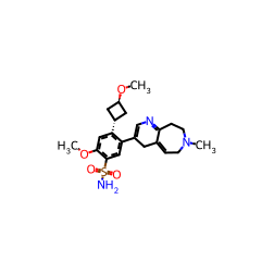 COc1cc([C@H]2C[C@H](OC)C2)c(C2=CN=C3CCN(C)CC=C3C2)cc1S(N)(=O)=O